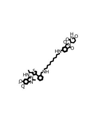 COc1cc2nc(C)nc(NC(C)c3cc(-c4ccccc4CNCCCCCCCCCCNc4ccc5c(c4)C(=O)N(C4CCC(=O)NC4=O)C5=O)cs3)c2cc1OC